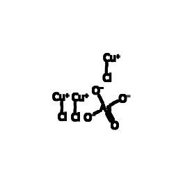 O=[As]([O-])([O-])[O-].[Cl][Cu+].[Cl][Cu+].[Cl][Cu+]